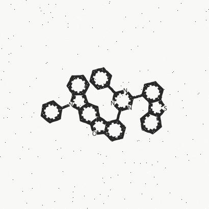 c1ccc(-c2nc(-c3cccc4oc5cc6c(cc5c34)c3ccccc3n6-c3ccccc3)nc(-c3cccc4sc5ccccc5c34)n2)cc1